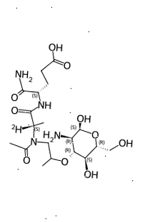 [2H][C@](C)(C(=O)N[C@@H](CCC(=O)O)C(N)=O)N(CC(C)O[C@@H]1[C@@H](N)[C@@H](O)O[C@H](CO)[C@H]1O)C(C)=O